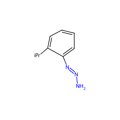 CC(C)c1ccccc1N=NN